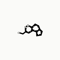 ClCc1cc2c(ccc3cccc32)on1